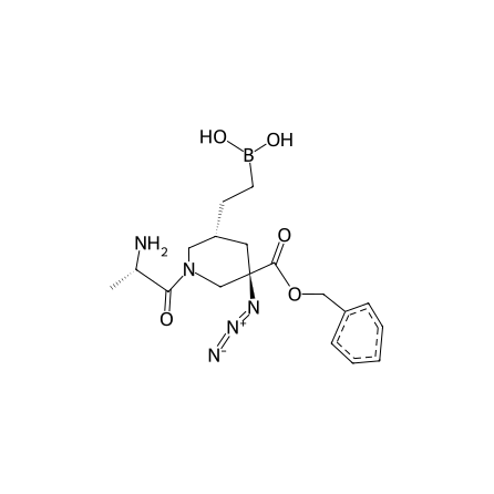 C[C@H](N)C(=O)N1C[C@H](CCB(O)O)C[C@](N=[N+]=[N-])(C(=O)OCc2ccccc2)C1